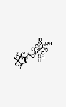 C[C@@H]1C=C(COP(=O)(O)P(=O)(O)P(=O)(O)O)C(C)(C)C1(C)C